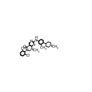 Cc1cc(Nc2ncc3c(n2)N(C)CN(c2c(C)cccc2Cl)C3=O)ccc1C1CCN(C)CC1